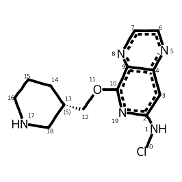 ClNc1cc2nccnc2c(OC[C@H]2CCCNC2)n1